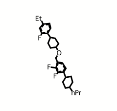 CCCC1CCC(c2ccc(COC3CCC(c4ccc(CC)cc4F)CC3)c(F)c2F)CC1